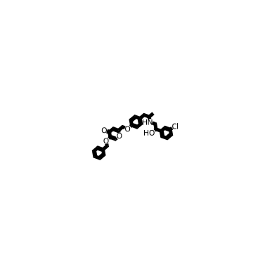 CC(Cc1ccc(OCc2cc(=O)c(OCc3ccccc3)co2)cc1)NCC(O)c1cccc(Cl)c1